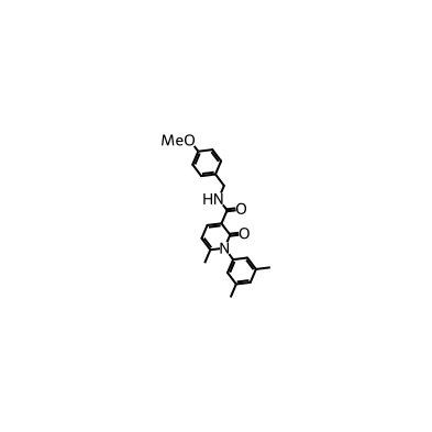 COc1ccc(CNC(=O)c2ccc(C)n(-c3cc(C)cc(C)c3)c2=O)cc1